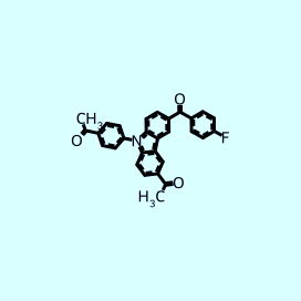 CC(=O)c1ccc(-n2c3ccc(C(C)=O)cc3c3cc(C(=O)c4ccc(F)cc4)ccc32)cc1